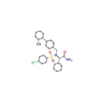 N#Cc1ccccc1-c1ccc(CN([C@@H](C(N)=O)c2ccccc2)S(=O)(=O)c2ccc(Cl)cc2)cc1